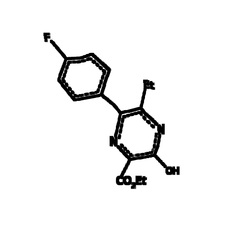 CCOC(=O)c1nc(-c2ccc(F)cc2)c(CC)nc1O